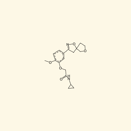 COc1ccc(C2=NOC3(CCOC3)C2)cc1OCC(=O)NC1CC1